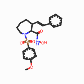 COc1ccc(S(=O)(=O)N2CCCCC(C=Cc3ccccc3)C2C(=O)NO)cc1